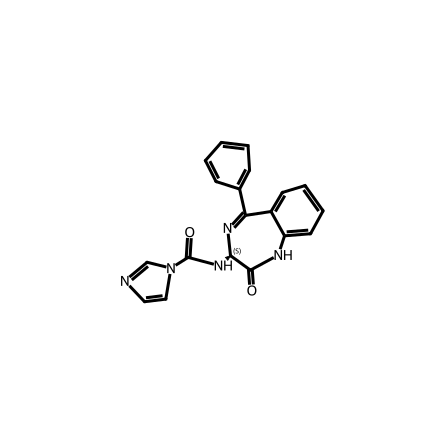 O=C1Nc2ccccc2C(c2ccccc2)=N[C@@H]1NC(=O)n1ccnc1